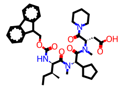 CC[C@H](C)[C@H](NC(=O)OCC1c2ccccc2-c2ccccc21)C(=O)N(C)[C@H](C(=O)N(C)[C@@H](CC(=O)O)C(=O)N1CCCCC1)C1CCCC1